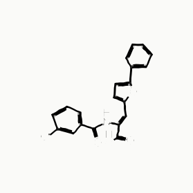 O=C(O)C(=Cc1ccc(-c2ccccc2)o1)NC(=O)c1cccc(Cl)c1